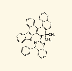 CC1(C)c2ccc3ccccc3c2-c2c(c3sc4ccccc4c3c3ccccc23)N1c1nc(-c2ccccc2)c2ccccc2n1